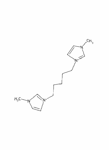 Cn1cc[n+](CCCCC[n+]2ccn(C)c2)c1